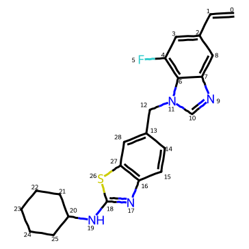 C=Cc1cc(F)c2c(c1)ncn2Cc1ccc2nc(NC3CCCCC3)sc2c1